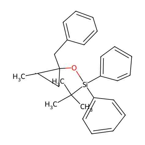 C[C]1CC1(Cc1ccccc1)O[Si](c1ccccc1)(c1ccccc1)C(C)(C)C